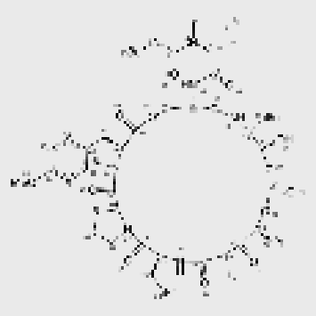 CCCCNC(=O)N(C)[C@H](CC(C)C)C(=O)N[C@@H]1CN[C@H]([C@@H](C)CC)[C@@H](O)CC(=O)O[C@@H](C(C)C)C(=O)[C@H](C)C(=O)N[C@@H](CC(C)C)C(=O)N2CCCC2C(=O)N(C)[C@@H](Cc2ccc(OC)cc2)C(=O)O[C@@H]1C